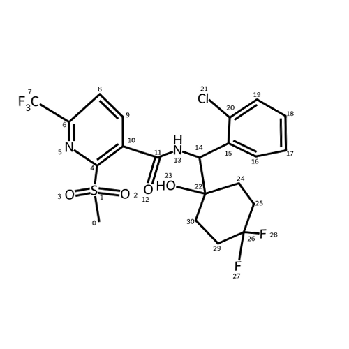 CS(=O)(=O)c1nc(C(F)(F)F)ccc1C(=O)NC(c1ccccc1Cl)C1(O)CCC(F)(F)CC1